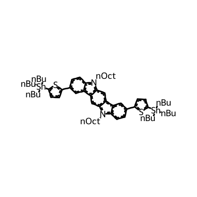 CCCCCCCCn1c2ccc(-c3cc[c]([Sn]([CH2]CCC)([CH2]CCC)[CH2]CCC)s3)cc2c2cc3c(cc21)c1cc(-c2cc[c]([Sn]([CH2]CCC)([CH2]CCC)[CH2]CCC)s2)ccc1n3CCCCCCCC